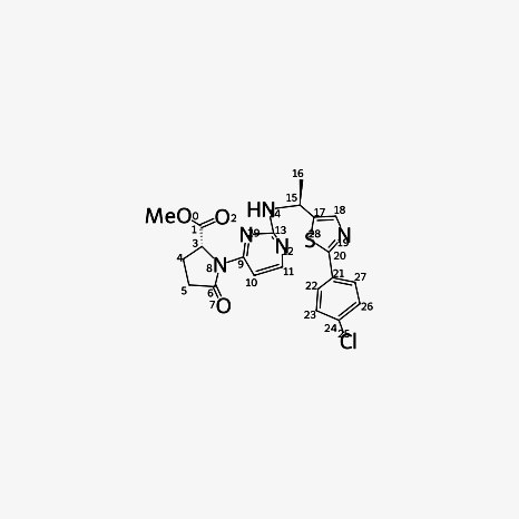 COC(=O)[C@H]1CCC(=O)N1c1ccnc(N[C@@H](C)c2cnc(-c3ccc(Cl)cc3)s2)n1